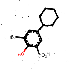 CC(C)(C)c1cc(C2CCCCC2)cc(C(=O)O)c1O